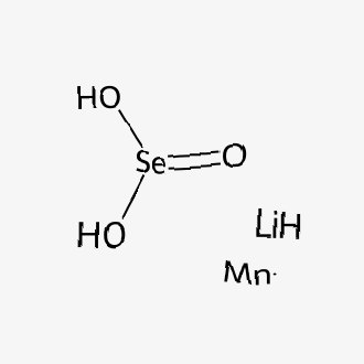 O=[Se](O)O.[LiH].[Mn]